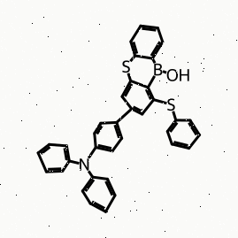 OB1c2ccccc2Sc2cc(-c3ccc(N(c4ccccc4)c4ccccc4)cc3)cc(Sc3ccccc3)c21